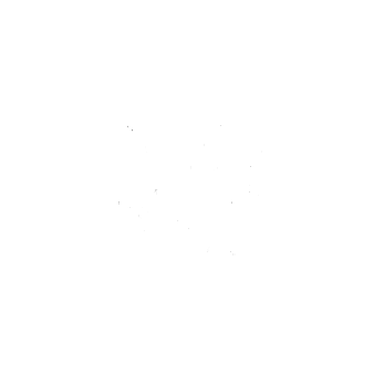 O=[N+]([O-])c1cccc(S(=O)(=O)[O-])c1.c1ccc([I+]c2ccccc2)cc1